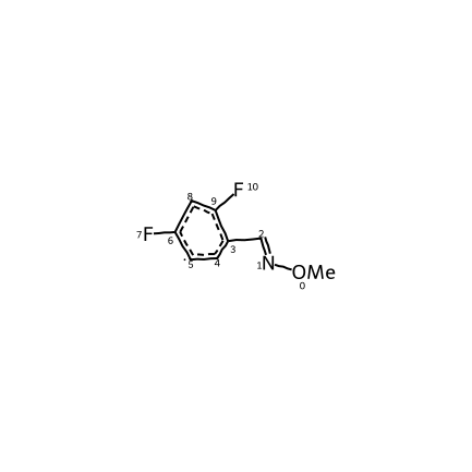 CO/N=C/c1c[c]c(F)cc1F